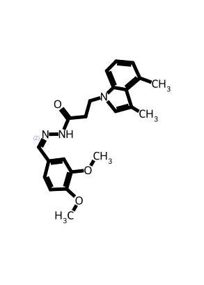 COc1ccc(/C=N\NC(=O)CCn2cc(C)c3c(C)cccc32)cc1OC